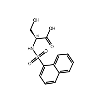 O=C(O)[C@H](CO)NS(=O)(=O)c1cccc2ccccc12